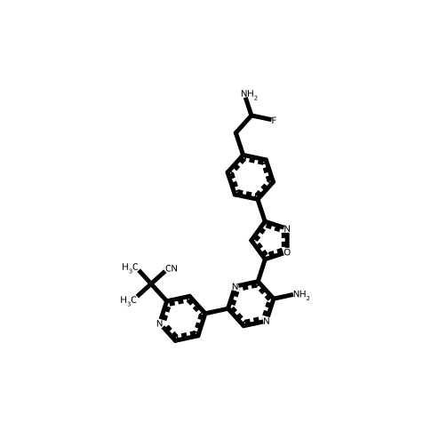 CC(C)(C#N)c1cc(-c2cnc(N)c(-c3cc(-c4ccc(CC(N)F)cc4)no3)n2)ccn1